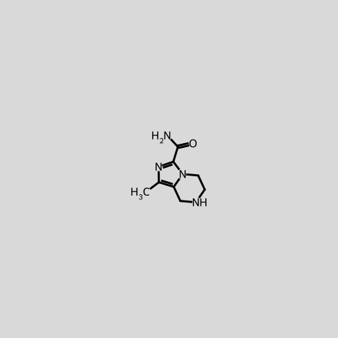 Cc1nc(C(N)=O)n2c1CNCC2